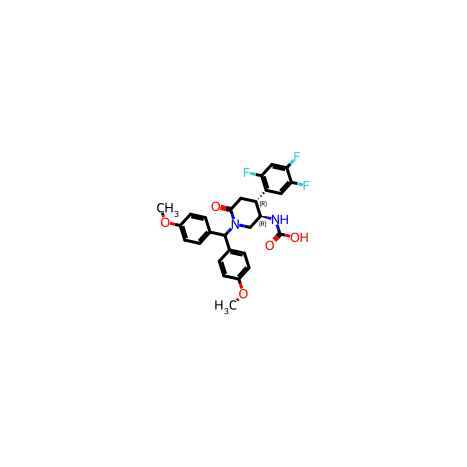 COc1ccc(C(c2ccc(OC)cc2)N2C[C@H](NC(=O)O)[C@@H](c3cc(F)c(F)cc3F)CC2=O)cc1